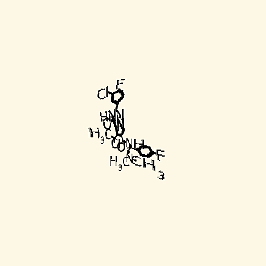 CC(C)c1c(C(=O)NC(CN(C)C)c2ccc(F)cc2)cn2nc(-c3ccc(F)c(Cl)c3)[nH]c(=O)c12